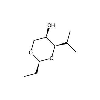 CC[C@H]1OC[C@@H](O)[C@@H](C(C)C)O1